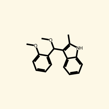 COc1ccccc1C(OC)c1c(C)[nH]c2ccccc12